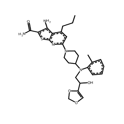 CCCc1cc(N2CCC(N(CC(O)C3=COCO3)c3ccccc3C)CC2)nc2sc(C(N)=O)c(N)c12